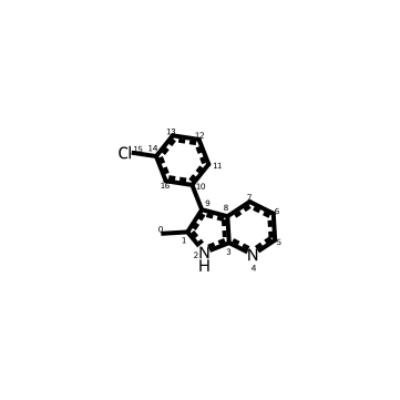 Cc1[nH]c2ncccc2c1-c1cccc(Cl)c1